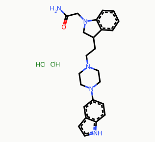 Cl.Cl.NC(=O)CN1CC(CCN2CCN(c3ccc4[nH]ccc4c3)CC2)c2ccccc21